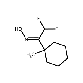 CC1(/C(=N/O)C(F)F)CCCCC1